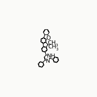 CC1(C)c2cc(C3C=C(c4ccccc4)N=C(c4ccccc4)N3)ccc2-c2ccc3c(c21)OC1C=CC=CC31